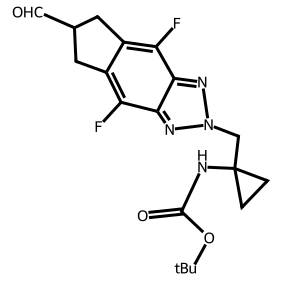 CC(C)(C)OC(=O)NC1(Cn2nc3c(F)c4c(c(F)c3n2)CC(C=O)C4)CC1